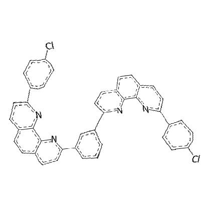 Clc1ccc(-c2ccc3ccc4ccc(-c5cccc(-c6ccc7ccc8ccc(-c9ccc(Cl)cc9)nc8c7n6)c5)nc4c3n2)cc1